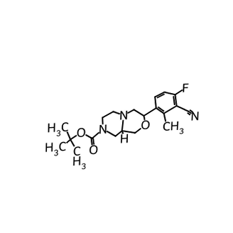 Cc1c(C2CN3CCN(C(=O)OC(C)(C)C)C[C@H]3CO2)ccc(F)c1C#N